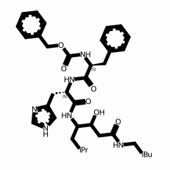 CCC(C)CNC(=O)CC(O)C(CC(C)C)NC(=O)[C@H](Cc1c[nH]cn1)NC(=O)[C@H](Cc1ccccc1)NC(=O)OCc1ccccc1